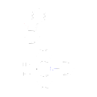 CC1(C)c2ccccc2N(c2ccccc2)c2ccc(-c3ccc4oc5ccccc5c4c3)cc21